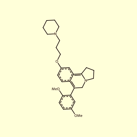 COc1ccc(OC)c(C2=c3ccc(OCCCN4CCCCC4)cc3=C3CCCN3C2)c1